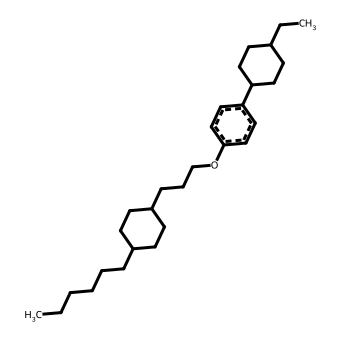 CCCCCCC1CCC(CCCOc2ccc(C3CCC(CC)CC3)cc2)CC1